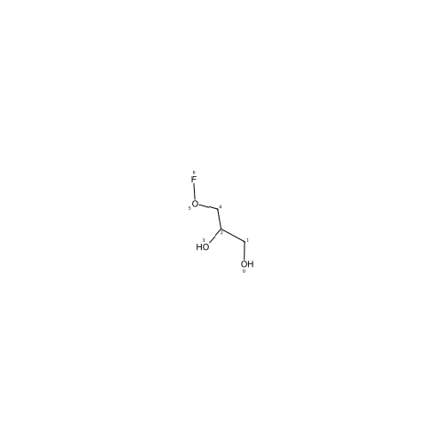 OCC(O)COF